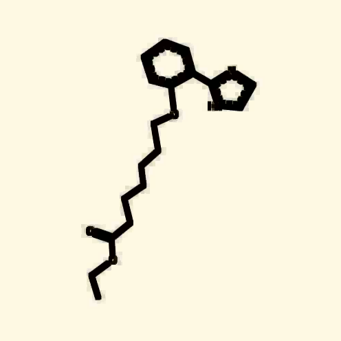 CCOC(=O)CCCCCCOc1ccccc1-c1ncc[nH]1